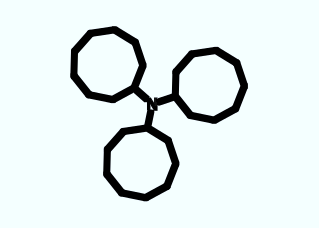 C1CCCCC(N(C2CCCCCCCC2)C2CCCCCCCC2)CCC1